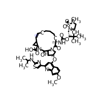 COc1ccc2c(O[C@@H]3C[C@H]4C(=O)N[C@]5(C(=O)O)CC5/C=C\CCCCC[C@H](NC(=O)O[C@H](CN5CCN(C)S5(=O)=O)C(C)(C)C)C(=O)N4C3)cc(-c3csc(NC(C)C)n3)nc2c1